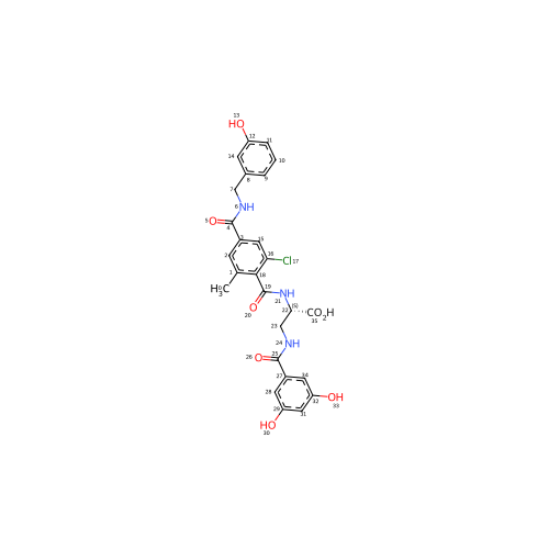 Cc1cc(C(=O)NCc2cccc(O)c2)cc(Cl)c1C(=O)N[C@@H](CNC(=O)c1cc(O)cc(O)c1)C(=O)O